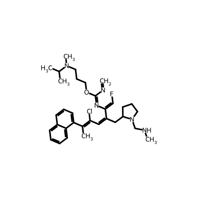 C=N\C(=N/C(=C\F)C(=C\C(Cl)=C(/C)c1cccc2ccccc12)/CC1CCCN1CNC)OCCCN(C)C(C)C